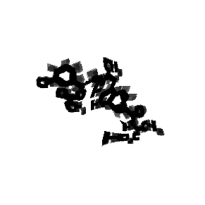 C[C@H](Cc1c[nH]c2cc(C(=O)N[C@@H](C)C(=O)O)ccc12)NC[C@H](OC(=O)C(F)(F)F)c1cccc(Cl)c1